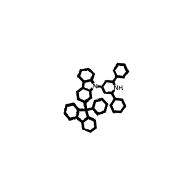 C1CCC(C2CC(N3C4CCCCC4C4CCC(C5(C6CCCCC6)C6CCCCC6C6CCCCC65)CC43)CC(C3CCCCC3)N2)CC1